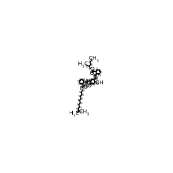 CCCCC(CC)COC(=O)c1ccccc1/N=N/c1cc(/N=N/c2ccccc2C(=O)OCCCCCCCCCCC(C)C)c(O)cc1O